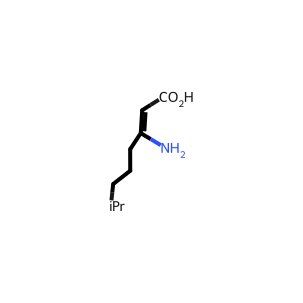 CC(C)CCC/C(N)=C/C(=O)O